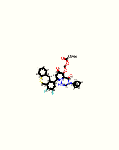 COC(=O)OCOc1c2n(c(-c3cc(F)c(F)c4c3Cc3ccccc3SC4)cc1=O)NCN(C1CC3CC1C3)C2=O